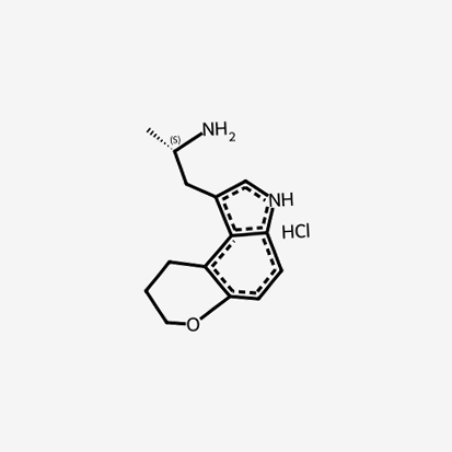 C[C@H](N)Cc1c[nH]c2ccc3c(c12)CCCO3.Cl